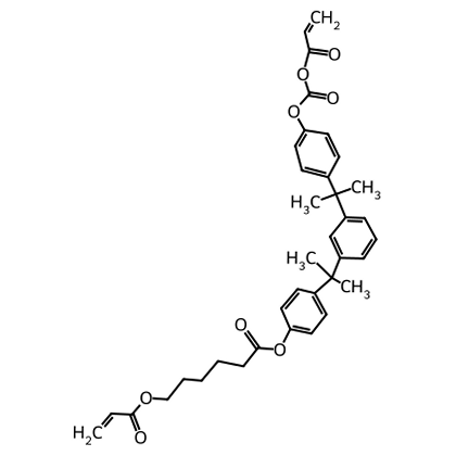 C=CC(=O)OCCCCCC(=O)Oc1ccc(C(C)(C)c2cccc(C(C)(C)c3ccc(OC(=O)OC(=O)C=C)cc3)c2)cc1